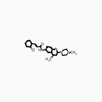 Cc1cc(N2CCN(C)CC2)nc2ccc(NC(=O)/C=C/c3ccccc3Cl)cc12